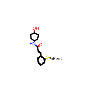 CCCCCSc1ccccc1C=CC(=O)NC1CCC(O)CC1